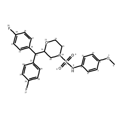 COc1ccc(NS(=O)(=O)N2CCOC(C(c3ccc(F)cc3)c3ccc(F)cc3)C2)cc1